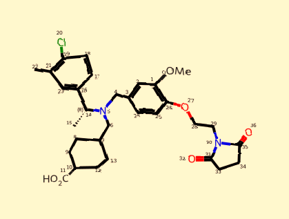 COc1cc(CN(CC2CCC(C(=O)O)CC2)[C@H](C)c2ccc(Cl)c(C)c2)ccc1OCCN1C(=O)CCC1=O